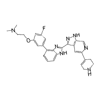 CN(C)CCOc1cc(F)cc(-c2cccc3[nH]c(-c4n[nH]c5cnc(C6=CCNCC6)cc45)nc23)c1